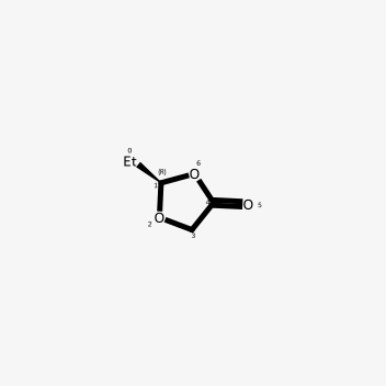 CC[C@@H]1OCC(=O)O1